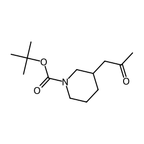 CC(=O)CC1CCCN(C(=O)OC(C)(C)C)C1